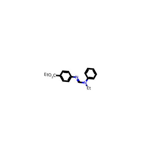 CCOC(=O)c1ccc(/N=C/N(CC)c2ccccc2)cc1